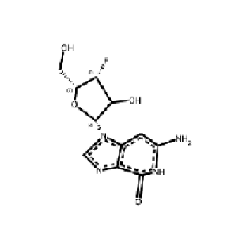 Nc1cc2c(ncn2[C@@H]2O[C@H](CO)[C@H](F)C2O)c(=O)[nH]1